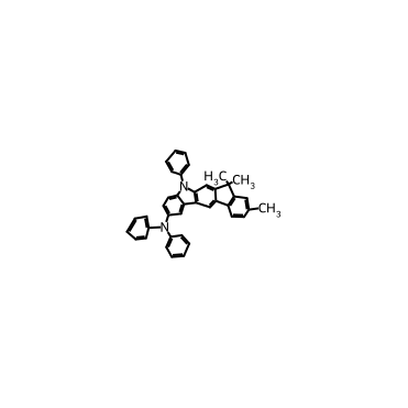 Cc1ccc2c(c1)C(C)(C)c1cc3c(cc1-2)c1cc(N(c2ccccc2)c2ccccc2)ccc1n3-c1ccccc1